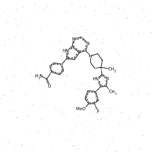 COc1ccc(-c2[nH]c(C3(C)CCN(c4ncnc5[nH]c(-c6ccc(C(N)=O)cc6)cc45)CC3)nc2C)cc1F